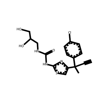 C#CC(C)(c1ccc(Cl)cc1)c1csc(NC(=O)NCC(O)CO)n1